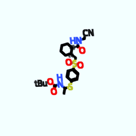 CC(NC(=O)OC(C)(C)C)Sc1ccc(S(=O)(=O)C[C@H]2CCCC[C@@H]2C(=O)NCC#N)cc1